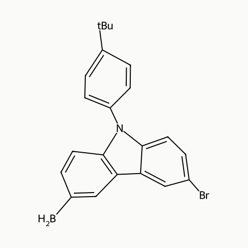 Bc1ccc2c(c1)c1cc(Br)ccc1n2-c1ccc(C(C)(C)C)cc1